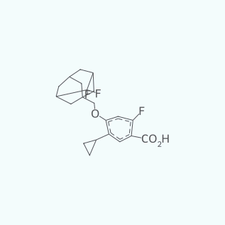 O=C(O)c1cc(C2CC2)c(OCC23CC4CC(C2)C(F)(F)C(C4)C3)cc1F